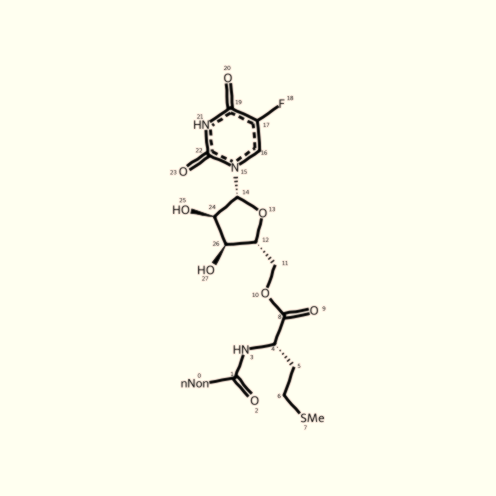 CCCCCCCCCC(=O)N[C@@H](CCSC)C(=O)OC[C@H]1O[C@@H](n2cc(F)c(=O)[nH]c2=O)[C@H](O)[C@@H]1O